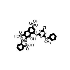 CN(c1ccccc1)c1nc(Cl)nc(Nc2cc(S(=O)(=O)O)cc3cc(S(=O)(=O)O)c(/N=N/c4ccccc4S(=O)(=O)O)c(O)c23)n1